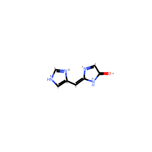 O=C1C=NC(=Cc2c[nH]cn2)N1